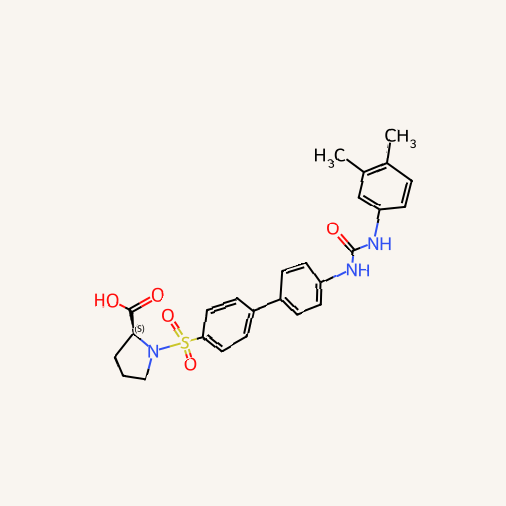 Cc1ccc(NC(=O)Nc2ccc(-c3ccc(S(=O)(=O)N4CCC[C@H]4C(=O)O)cc3)cc2)cc1C